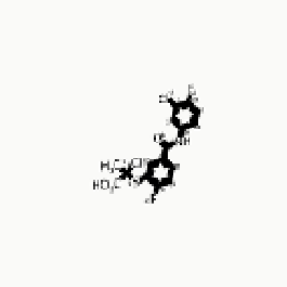 CC(C)(Sc1cc(C(=O)Nc2ccc(F)c(Cl)c2)ccc1F)C(=O)O